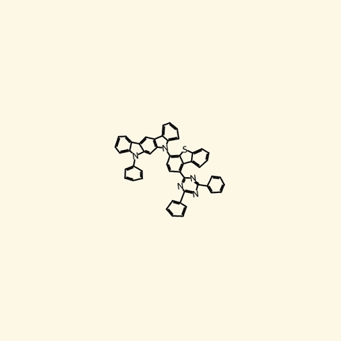 c1ccc(-c2nc(-c3ccccc3)nc(-c3ccc(-n4c5ccccc5c5cc6c7ccccc7n(-c7ccccc7)c6cc54)c4sc5ccccc5c34)n2)cc1